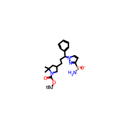 CC(C)(C)OC(=O)N1CC(CCC(c2ccccc2)n2ccc([S+](N)[O-])n2)CC1(C)C